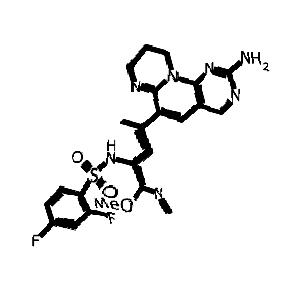 C=N/C(OC)=C(\C=C(/C)C1=Cc2cnc(N)nc2N2CCCN=C12)NS(=O)(=O)c1ccc(F)cc1F